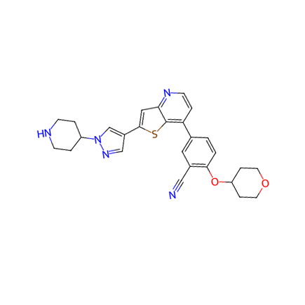 N#Cc1cc(-c2ccnc3cc(-c4cnn(C5CCNCC5)c4)sc23)ccc1OC1CCOCC1